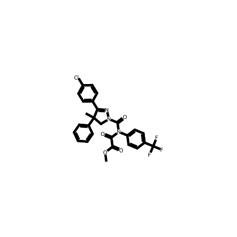 COC(=O)C(=O)N(C(=O)N1CC(C)(c2ccccc2)C(c2ccc(Cl)cc2)=N1)c1ccc(C(F)(F)F)cc1